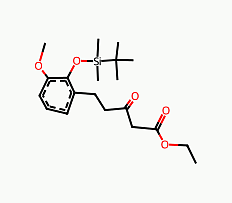 CCOC(=O)CC(=O)CCc1cccc(OC)c1O[Si](C)(C)C(C)(C)C